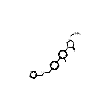 CC(=O)NC[C@H]1CN(c2ccc(-c3ccc(CNCc4ccsc4)cc3)c(F)c2)C(=O)O1